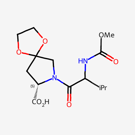 COC(=O)NC(C(=O)N1CC2(C[C@H]1C(=O)O)OCCO2)C(C)C